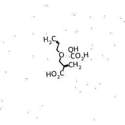 C=CCOCC(=C)C(=O)O.O=C(O)O